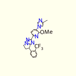 COc1nc(-c2nc3n(n2)CCC3c2ccccc2C(F)(F)F)ccc1-n1cnc(C)c1